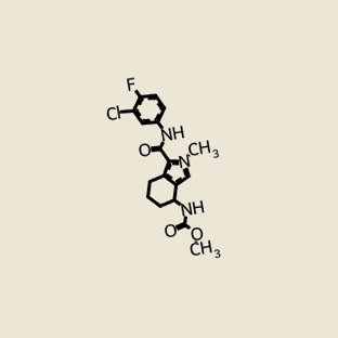 COC(=O)NC1CCCc2c1cn(C)c2C(=O)Nc1ccc(F)c(Cl)c1